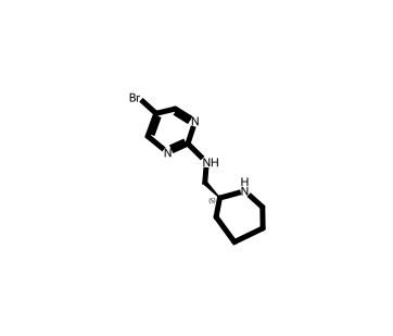 Brc1cnc(NC[C@@H]2CCCCN2)nc1